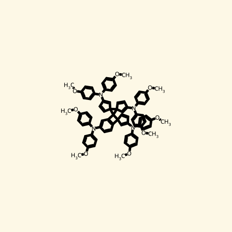 COc1ccc(N(C2=CC3(C=C2)c2ccc(N(c4ccc(OC)cc4)c4ccc(OC)cc4)cc2C32C3(C=CC(N(c4ccc(OC)cc4)c4ccc(OC)cc4)=C3)C23C=CC(N(c2ccc(OC)cc2)c2ccc(OC)cc2)=C3)c2ccc(OC)cc2)cc1